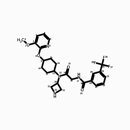 COc1cccnc1OC1CCC(N(C(=O)CNC(=O)c2cccc(C(F)(F)F)c2)C2CNC2)CC1